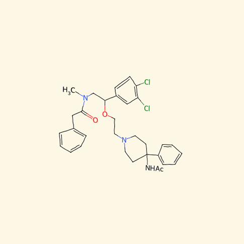 CC(=O)NC1(c2ccccc2)CCN(CCOC(CN(C)C(=O)Cc2ccccc2)c2ccc(Cl)c(Cl)c2)CC1